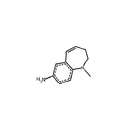 CN1CCC=Cc2cc(N)ccc21